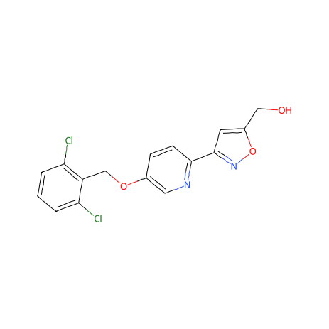 OCc1cc(-c2ccc(OCc3c(Cl)cccc3Cl)cn2)no1